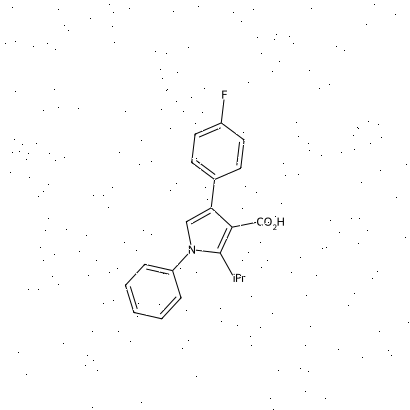 CC(C)c1c(C(=O)O)c(-c2ccc(F)cc2)cn1-c1ccccc1